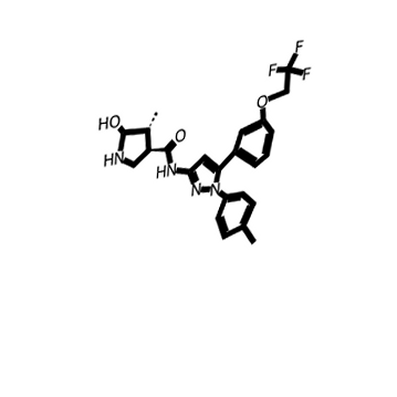 Cc1ccc(-n2nc(NC(=O)[C@H]3CNC(O)[C@@H]3C)cc2-c2cccc(OCC(F)(F)F)c2)cc1